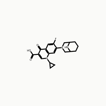 O=C(O)c1cn(C2CC2)c2cc(N3CC4CCCC(C3)N4)c(F)cc2c1=O